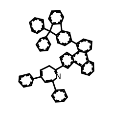 C1=C(c2ccccc2)C=C(c2ccccc2)N=C(c2ccc3c(c2)c2ccccc2c2cccc(-c4ccc5c(c4)-c4ccccc4C5(c4ccccc4)c4ccccc4)c23)C1